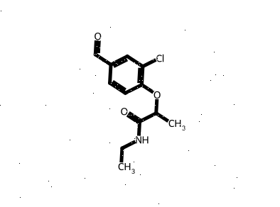 CCNC(=O)C(C)Oc1ccc(C=O)cc1Cl